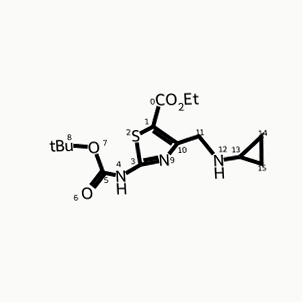 CCOC(=O)c1sc(NC(=O)OC(C)(C)C)nc1CNC1CC1